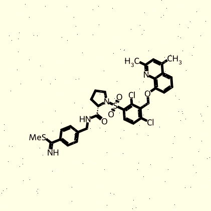 CSC(=N)c1ccc(CNC(=O)[C@@H]2CCCN2S(=O)(=O)c2ccc(Cl)c(COc3cccc4c(C)cc(C)nc34)c2Cl)cc1